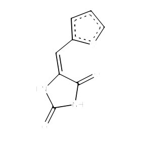 O=C1NC(=O)C(=Cc2cccs2)N1